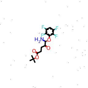 CC(C)(C)OC(=O)CCC(=O)C(N)Oc1c(F)c(F)cc(F)c1F